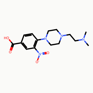 CN(C)CCN1CCN(c2ccc(C(=O)O)cc2[N+](=O)[O-])CC1